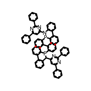 c1ccc(-c2cc(C3c4ccccc4-c4ccccc4P3c3ccccc3-c3ccccc3P3c4ccccc4-c4ccccc4N3c3cc(-c4ccccc4)nc(-c4ccccc4)n3)nc(-c3ccccc3)n2)cc1